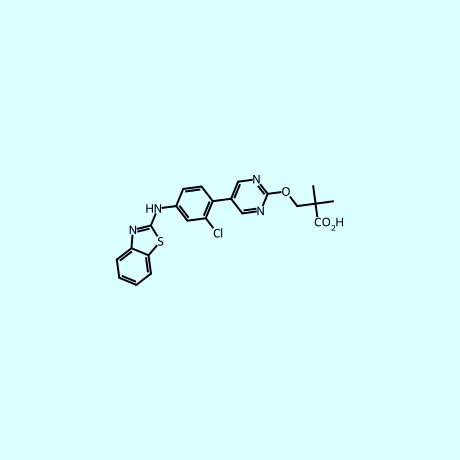 CC(C)(COc1ncc(-c2ccc(Nc3nc4ccccc4s3)cc2Cl)cn1)C(=O)O